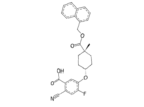 C[C@]1(C(=O)OCc2cccc3ccccc23)CC[C@@H](Oc2cc(C(=O)O)c(C#N)cc2F)CC1